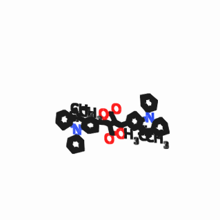 C[Si]1(C)c2ccccc2N(c2ccccc2)c2ccc(C3=C4C(=O)OC(c5ccc6c(c5)[Si](C)(C)c5ccccc5N6c5ccccc5)=C4C(=O)O3)cc21